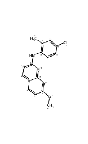 COc1ccc2cnc(Nc3ccc(Cl)cc3C)nc2c1